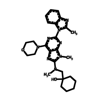 Cc1nc2ccccc2n1-c1nc(N2CCOCC2)c2nc(N(C)CC3(O)CCCCC3)n(C)c2n1